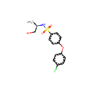 O=C(O)C(CO)NS(=O)(=O)c1ccc(Oc2ccc(Cl)cc2)cc1